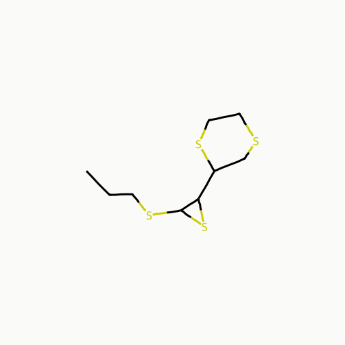 CCCSC1SC1C1CSCCS1